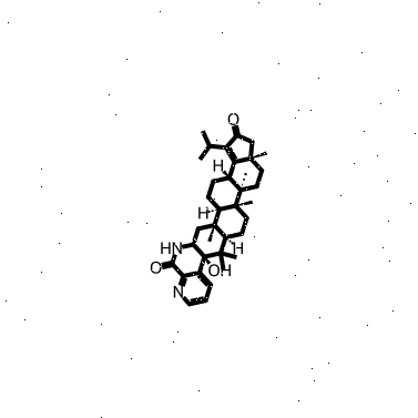 CC(C)C1=C2[C@H]3CC[C@@H]4[C@@]5(C)CC6NC(=O)c7ncccc7[C@@]6(O)C(C)(C)[C@@H]5CC[C@@]4(C)[C@]3(C)CC[C@@]2(C)CC1=O